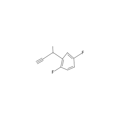 C#C[C](C)c1cc(F)ccc1F